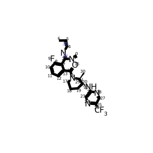 C=N/C(=N\C=C/C)c1c(F)cccc1C(=O)N1CCC[C@@H](Nc2cnc(C(F)(F)F)cn2)[C@@H]1C